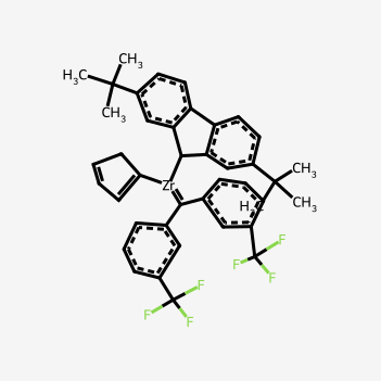 CC(C)(C)c1ccc2c(c1)[CH]([Zr]([C]1=CC=CC1)=[C](c1cccc(C(F)(F)F)c1)c1cccc(C(F)(F)F)c1)c1cc(C(C)(C)C)ccc1-2